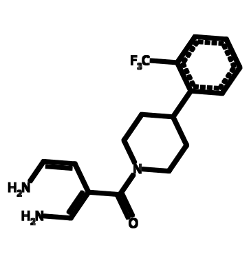 N/C=C\C(=C/N)C(=O)N1CCC(c2ccccc2C(F)(F)F)CC1